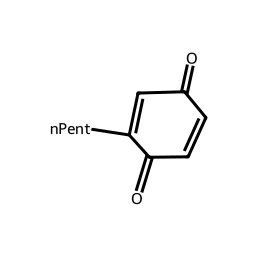 CCCCCC1=CC(=O)C=CC1=O